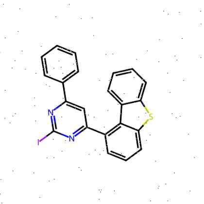 Ic1nc(-c2ccccc2)cc(-c2cccc3sc4ccccc4c23)n1